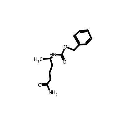 CC(CC[CH]C(N)=O)NC(=O)OCc1ccccc1